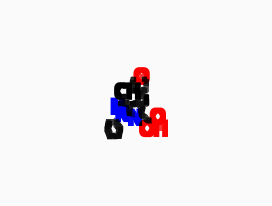 Cc1nn(-c2ccccc2)c2nc(C(=O)O)cc(C3=CCOCC3)c12